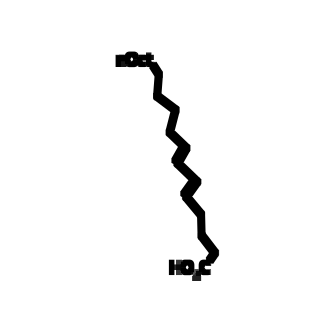 CCCCCCCCCCCC/C=C/C=C/CCCC(=O)O